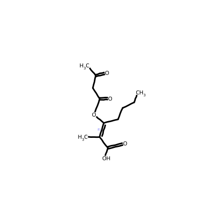 CCCC/C(OC(=O)CC(C)=O)=C(/C)C(=O)O